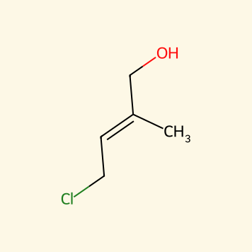 C/C(=C\CCl)CO